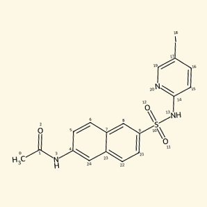 CC(=O)Nc1ccc2cc(S(=O)(=O)Nc3ccc(I)cn3)ccc2c1